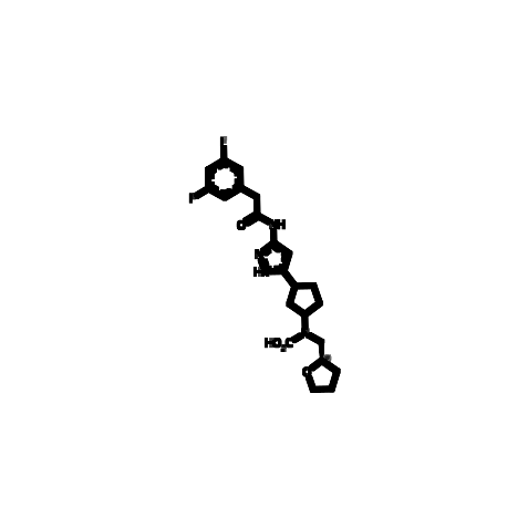 O=C(Cc1cc(F)cc(F)c1)Nc1cc(C2CCC(N(C[C@H]3CCCO3)C(=O)O)C2)[nH]n1